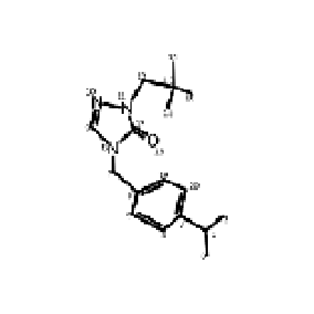 CC(C)c1ccc(Cn2cnn(CC(C)(C)C)c2=O)cc1